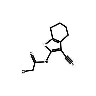 N#Cc1c(NC(=O)CCl)sc2c1CCCC2